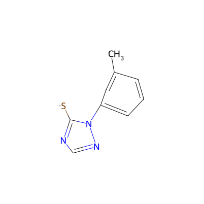 Cc1cccc(-n2ncnc2[S])c1